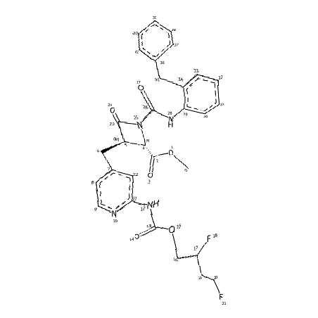 COC(=O)[C@@H]1[C@@H](Cc2ccnc(NC(=O)OCC(F)CCF)c2)C(=O)N1C(=O)Nc1ccccc1Cc1ccccc1